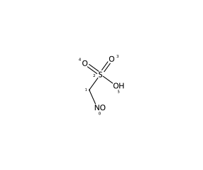 O=NCS(=O)(=O)O